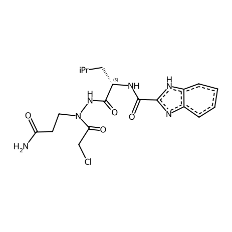 CC(C)C[C@H](NC(=O)c1nc2ccccc2[nH]1)C(=O)NN(CCC(N)=O)C(=O)CCl